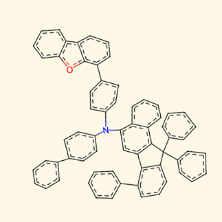 c1ccc(-c2ccc(N(c3ccc(-c4cccc5c4oc4ccccc45)cc3)c3cc4c(c5ccccc35)C(c3ccccc3)(c3ccccc3)c3cccc(-c5ccccc5)c3-4)cc2)cc1